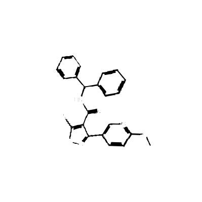 COc1ccc(-c2noc(N)c2C(=O)NC(c2ccccc2)c2ccccc2)cn1